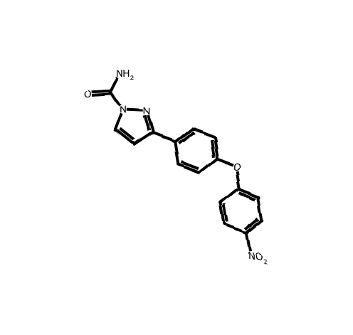 NC(=O)n1ccc(-c2ccc(Oc3ccc([N+](=O)[O-])cc3)cc2)n1